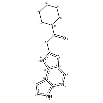 O=C(Cc1nc2cnc3[nH]ccc3c2[nH]1)N1CCCCC1